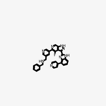 Fc1c(-c2cncc(CNCc3ccccc3)c2)ncc2[nH]nc(-c3nc4c(-c5ccncc5)cccc4[nH]3)c12